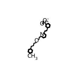 Cc1ccc(CCCCOCCc2cccc(C=Cc3cccc([N+](=O)[O-])c3)n2)cc1